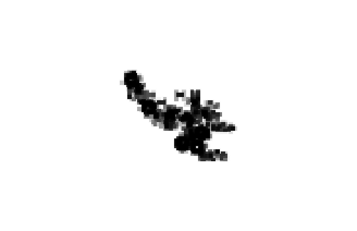 COc1ccc(C(OC[C@H]2O[C@@H](n3cnc4c(NC(=O)c5ccc(CNC(=O)Cc6ccccc6)cc5)ncnc43)CC2OP(OCCN)N(C(C)C)C(C)C)(c2ccccc2)c2ccc(OC)cc2)cc1